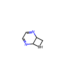 B1CC2N=CC=NC12